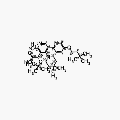 Cc1ncc(-c2ccc(OCCC(C)(C)C)cn2)c(N2CCC(C)(C)CC2)c1[C@H](OC(C)(C)C)C(=O)O